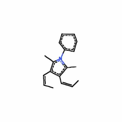 C/C=C\c1c(/C=C\C)c(C)n(-c2ccccc2)c1C